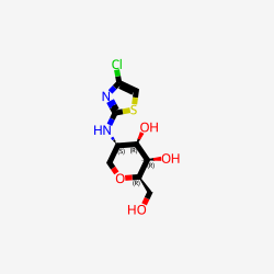 OC[C@H]1OC[C@H](Nc2nc(Cl)cs2)[C@@H](O)[C@H]1O